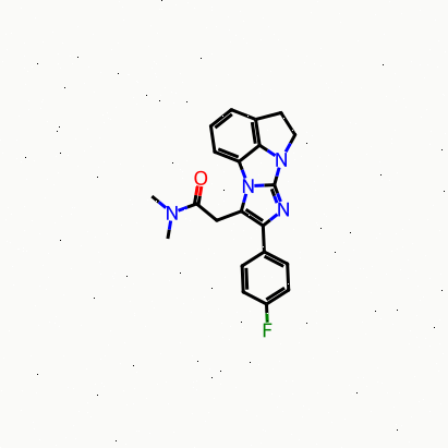 CN(C)C(=O)Cc1c(-c2ccc(F)cc2)nc2n3c4c(cccc4n12)CC3